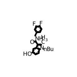 CCCCn1c(C)c(C(=O)NCc2ccc(F)c(F)c2)c2cc(O)ccc21